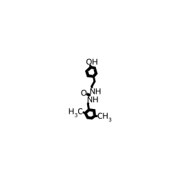 Cc1ccc(C)c(CNC(=O)NCCc2ccc(O)cc2)c1